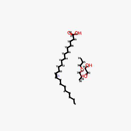 CCCCCCCC/C=C\CCCCCCCCCCCC(=O)O.CCCOCCC.OCCO